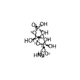 O.O=P(O)(O)OP(=O)(O)OP(=O)(O)O.[NaH]